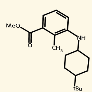 COC(=O)c1cccc(NC2CCC(C(C)(C)C)CC2)c1C